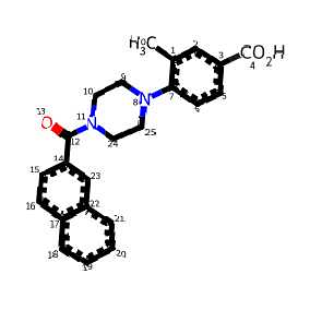 Cc1cc(C(=O)O)ccc1N1CCN(C(=O)c2ccc3ccccc3c2)CC1